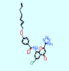 C=CCCC/C=C/COc1ccc(C(=O)Nc2cc(Cl)cc3c(=O)cc(-c4nnn[nH]4)oc23)cc1